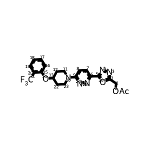 CC(=O)OCc1nnc(-c2ccc(N3CCC(Oc4ccccc4C(F)(F)F)CC3)nn2)o1